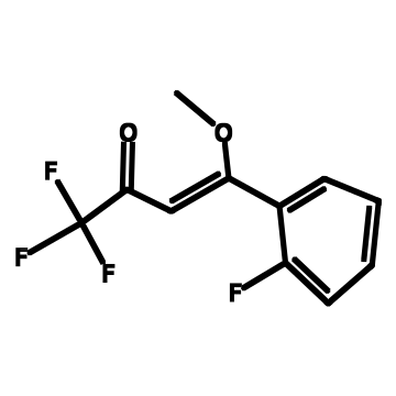 CO/C(=C\C(=O)C(F)(F)F)c1ccccc1F